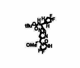 COC[C@H](c1cnn2cc([C@@H](NC(=O)OC(C)(C)C)C3[C@H]4CC(F)(F)C[C@@H]34)nc2c1)N1CC(F)(F)CNC1=O